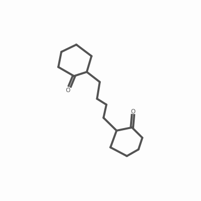 O=C1CCCCC1CCCCC1CCCCC1=O